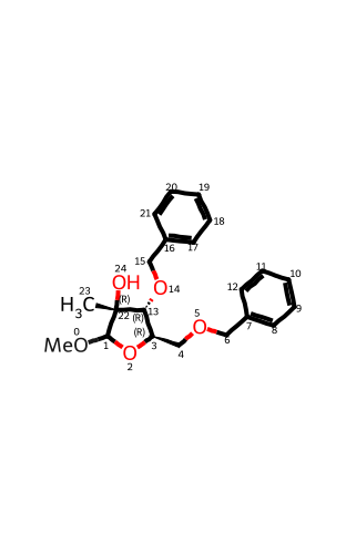 COC1O[C@H](COCc2ccccc2)[C@@H](OCc2ccccc2)[C@@]1(C)O